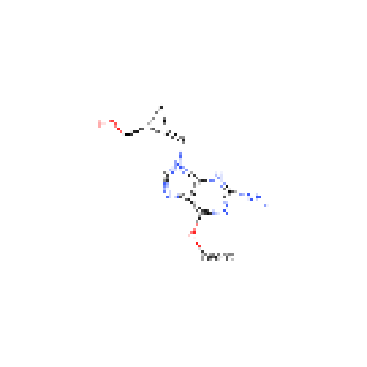 CCCCCOc1nc(N)nc2c1ncn2/C=C1/C[C@@H]1CO